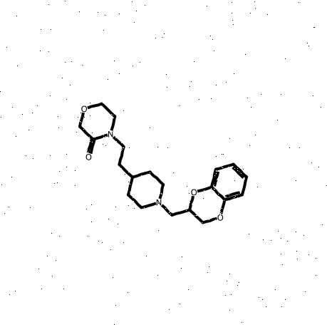 O=C1COCCN1CCC1CCN(CC2COc3ccccc3O2)CC1